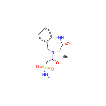 CC[C@H](C)[C@H]1C(=O)Nc2ccccc2CN1C(=O)CS(N)(=O)=O